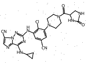 N#Cc1cc(Nc2nc(NC3CC3)c3ncc(C#N)n3n2)c(Cl)c(N2CCN(C(=O)C3CNC(=O)N3)CC2)c1